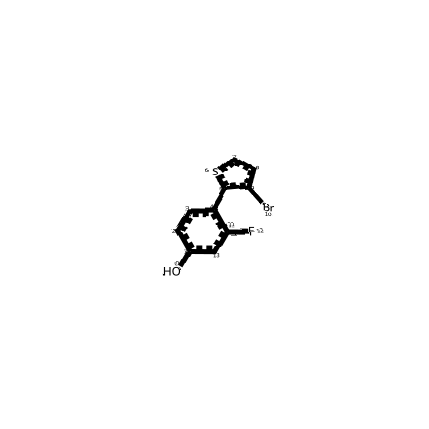 Oc1ccc(-c2sccc2Br)c(F)c1